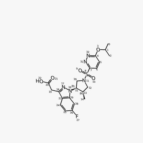 CC(C)Oc1ccc(S(=O)(=O)N2C[C@@H](C)[C@@H](n3nc(CC(=O)O)c4ccc(F)cc43)C2)nn1